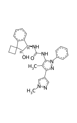 Cc1c(-c2cnn(C)c2)nn(-c2ccccc2)c1NC(=O)N[C@@H]1c2ccccc2C2(CCC2)[C@H]1O